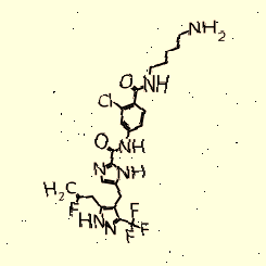 C=C(F)Cc1[nH]nc(C(F)(F)F)c1Cc1cnc(C(=O)Nc2ccc(C(=O)NCCCCCN)c(Cl)c2)[nH]1